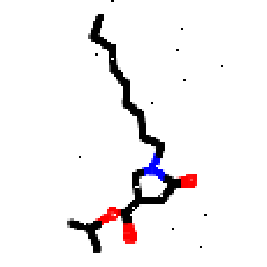 CCCCCCCCCN1CC(C(=O)OC(C)C)CC1=O